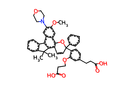 COc1cc2c3c(c4c(c2cc1N1CCOCC1)-c1ccccc1C4(C)C)C=CC(c1ccccc1)(c1ccc(CCC(=O)O)cc1OCCC(=O)O)O3